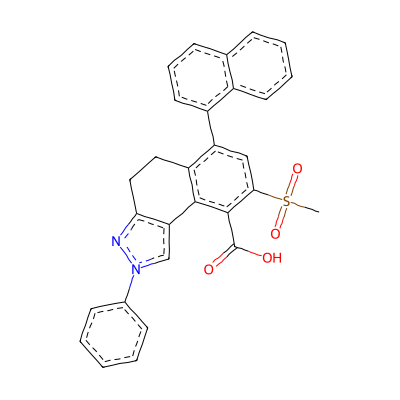 CS(=O)(=O)c1cc(-c2cccc3ccccc23)c2c(c1C(=O)O)-c1cn(-c3ccccc3)nc1CC2